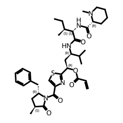 C=CC(=O)O[C@H](C[C@@H](NC(=O)[C@@H](NC(=O)[C@H]1CCCCN1C)[C@@H](C)CC)C(C)C)c1nc(C(=O)N2C(=O)[C@@H](C)C[C@@H]2Cc2ccccc2)cs1